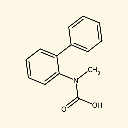 CN(C(=O)O)c1ccccc1-c1ccccc1